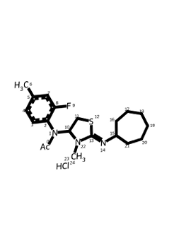 CC(=O)N(c1ccc(C)cc1F)C1CSC(=NC2CCCCCC2)N1C.Cl